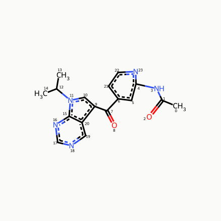 CC(=O)Nc1cc(C(=O)c2cn(C(C)C)c3ncncc23)ccn1